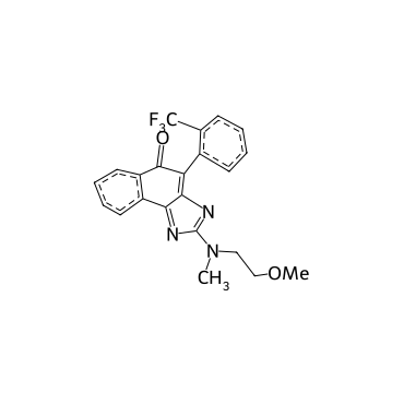 COCCN(C)C1=NC2=C(c3ccccc3C(F)(F)F)C(=O)c3ccccc3C2=N1